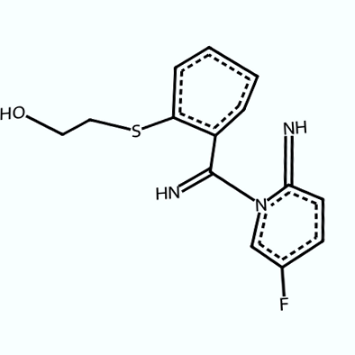 N=C(c1ccccc1SCCO)n1cc(F)ccc1=N